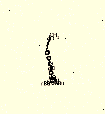 C=CC(=O)OCCCCCC[C@H]1CC[C@H](c2ccc(-c3ccc(C(=O)Oc4ccc(C5O[C@@H](C(=O)OCCCC)[C@H](C(=O)OCCCC)O5)cc4)cc3)cc2)CC1